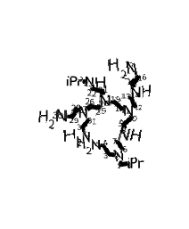 CC(C)CN(CCN)CCNCCN(CCNCCN)CCN(CCNC(C)C)CCN(CCN)CCN